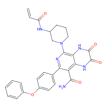 C=CC(=O)NC1CCCN(c2nc(-c3ccc(Oc4ccccc4)cc3)c(C(N)=O)c3[nH]c(=O)c(=O)[nH]c23)C1